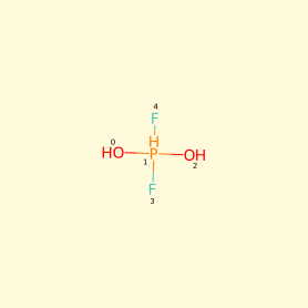 O[PH](O)(F)F